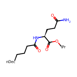 CCCCCCCCCCCCCC(=O)N[C@@H](CCC(N)=O)C(=O)OC(C)C